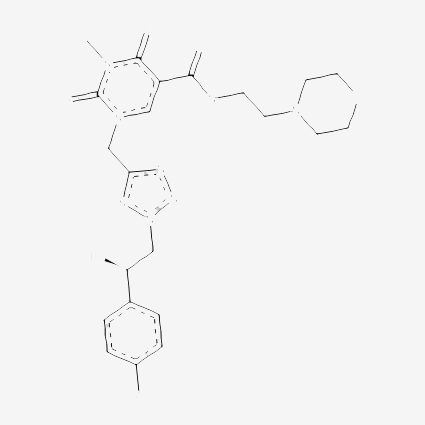 Cn1c(=O)c(C(=O)NCCN2CCOCC2)cn(Cc2nnn(C[C@H](O)c3ccc(Cl)cc3)n2)c1=O